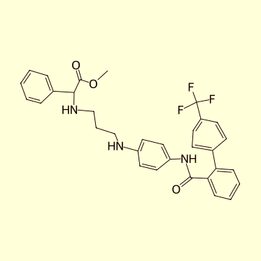 COC(=O)C(NCCCNc1ccc(NC(=O)c2ccccc2-c2ccc(C(F)(F)F)cc2)cc1)c1ccccc1